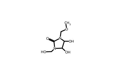 COCN1C(=O)N(CO)C(O)C1O